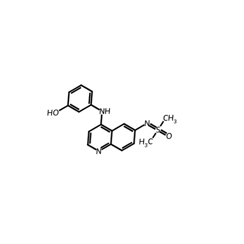 CS(C)(=O)=Nc1ccc2nccc(Nc3cccc(O)c3)c2c1